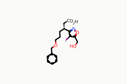 O=C(O)C[C@H](CCCOCc1ccccc1)c1noc(CO)c1I